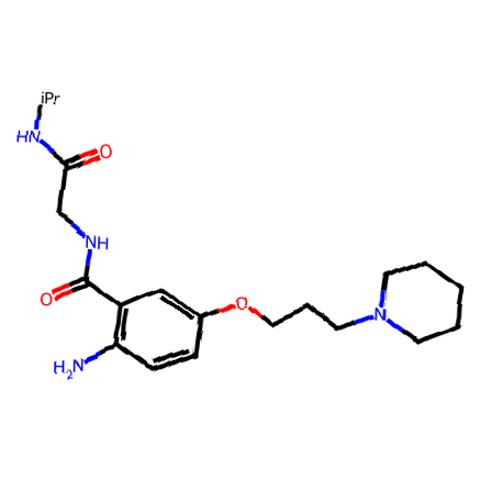 CC(C)NC(=O)CNC(=O)c1cc(OCCCN2CCCCC2)ccc1N